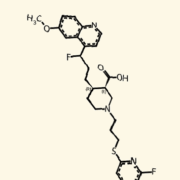 COc1ccc2nccc(C(F)CC[C@@H]3CCN(CCCSc4cccc(F)n4)C[C@@H]3C(=O)O)c2c1